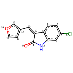 O=C1Nc2cc(Cl)ccc2C1=Cc1ccoc1